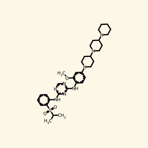 COc1cc(N2CCC(N3CCC(N4CCCCC4)CC3)CC2)ccc1Nc1ncnc(Nc2ccccc2S(=O)(=O)C(C)C)n1